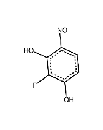 O=Nc1ccc(O)c(F)c1O